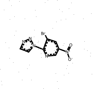 O=[N+]([O-])c1cnc(-n2ccnn2)c(Br)c1